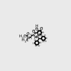 CC(=O)N(C)CCN1CN(C(c2ccccc2)c2ccccc2)n2ccc(=O)c(O)c2C1=O